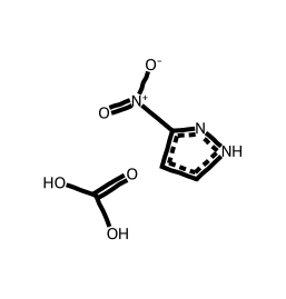 O=C(O)O.O=[N+]([O-])c1cc[nH]n1